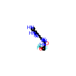 O=C(NCc1cc(OC(F)(F)F)ccc1F)c1cn(CCCCc2cc3cc(C4CCNCC4)[nH]c3nn2)nn1